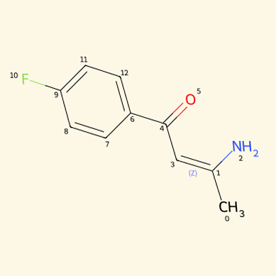 C/C(N)=C/C(=O)c1ccc(F)cc1